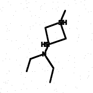 CCN(CC)[SiH]1C[SiH](C)C1